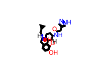 O=C(Cc1cn[nH]c1)N[C@H]1CC[C@@]2(O)[C@H]3Cc4ccc(O)c5c4[C@@]2(CCN3CC2CC2)[C@H]1O5